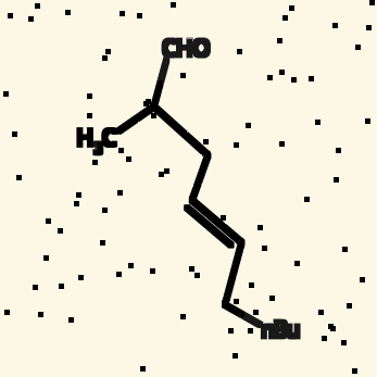 CCCCCC=CCC(C)C=O